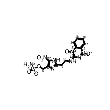 NS(=O)(=O)OCc1nc(CCNc2n[n+]([O-])c3ccccc3[n+]2[O-])[nH]c1[N+](=O)[O-]